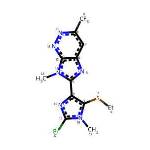 CCSc1c(-c2nc3cc(C(F)(F)F)nnc3n2C)nc(Br)n1C